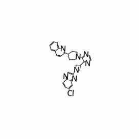 Clc1ccc2ncc(N3CC(c4nccnc4N4CCC(c5ccc6ccccc6n5)CC4)C3)nc2c1